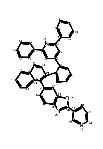 c1ccc(-c2cc(-c3ccccc3-c3ccc4ccccc4c3-c3ccc4nc(-c5cccnc5)oc4c3)cc(-c3ccccc3)n2)cc1